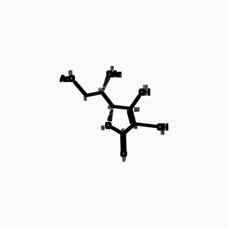 CC(=O)OC[C@H](OC(C)=O)[C@H]1OC(=O)C(O)=C1O